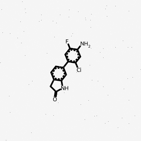 Nc1cc(Cl)c(-c2ccc3c(c2)NC(=O)C3)cc1F